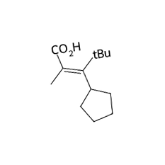 CC(C(=O)O)=C(C1CCCC1)C(C)(C)C